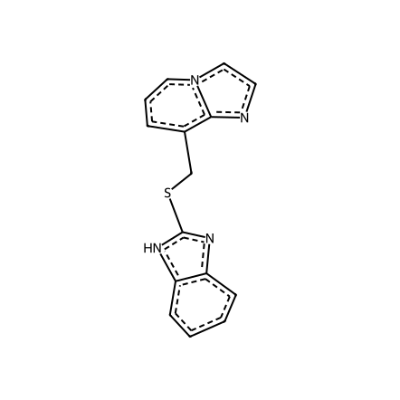 c1ccc2[nH]c(SCc3cccn4ccnc34)nc2c1